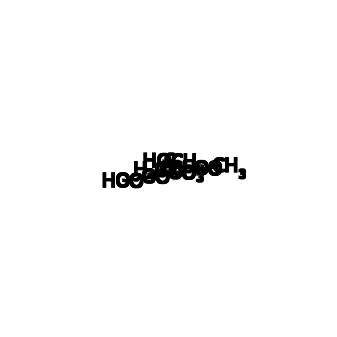 CC(=O)OC(C)(C)C.COCCOCCOCCOCCOCCOCCOCCO